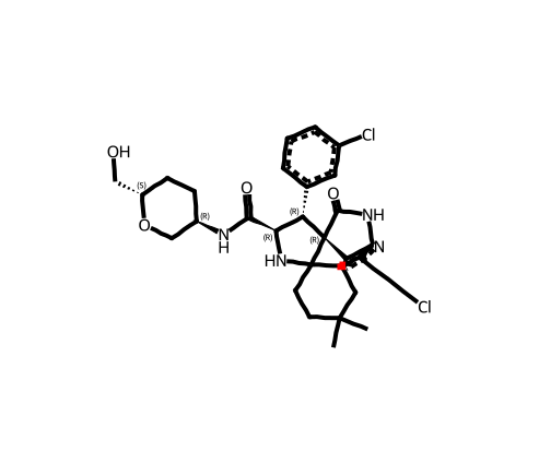 CC1(C)CCC2(CC1)N[C@@H](C(=O)N[C@@H]1CC[C@@H](CO)OC1)[C@H](c1cccc(Cl)c1)[C@]21C(=O)Nc2nc(Cl)ccc21